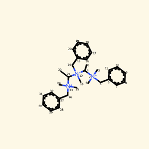 CC([N+](C)(C)Cc1ccccc1)[N+](C)(Cc1ccccc1)C(C)[N+](C)(C)Cc1ccccc1